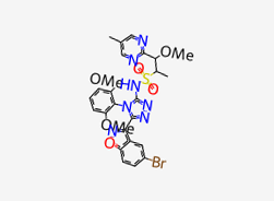 COc1cccc(OC)c1-n1c(NS(=O)(=O)C(C)C(OC)c2ncc(C)cn2)nnc1-c1noc2ccc(Br)cc12